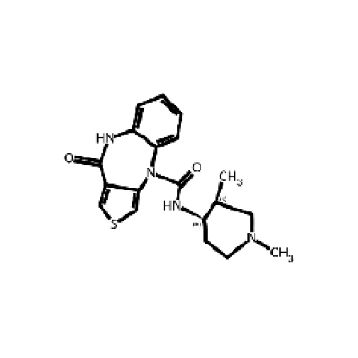 C[C@H]1CN(C)CC[C@H]1NC(=O)N1c2ccccc2NC(=O)c2cscc21